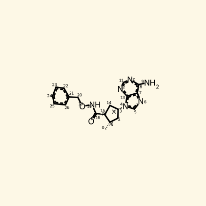 C[C@H]1C[C@@H](n2cnc3c(N)ncnc32)C[C@@H]1C(=O)NOCc1ccccc1